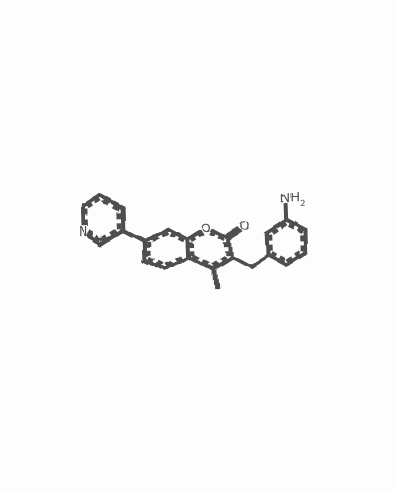 Cc1c(Cc2cccc(N)c2)c(=O)oc2cc(-c3cccnc3)ccc12